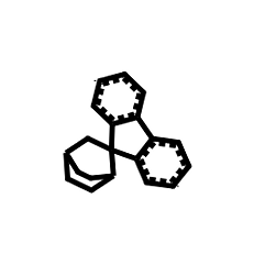 [c]1ccc2c(c1)C1(CC3CCC1CC3)c1c[c]ccc1-2